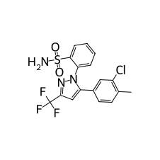 Cc1ccc(-c2cc(C(F)(F)F)nn2-c2ccccc2S(N)(=O)=O)cc1Cl